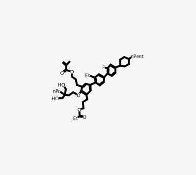 C=C(C)C(=O)OCCCc1cc(-c2ccc(-c3ccc(C4CCC(CCCCC)CC4)cc3F)cc2CC)cc(CCCOC(=O)CC)c1OCCC(CO)(CO)CCC